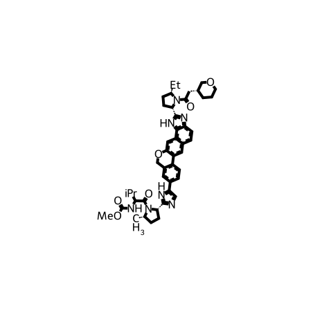 CC[C@H]1CC[C@@H](c2nc3ccc4cc5c(cc4c3[nH]2)OCc2cc(-c3cnc([C@@H]4CC[C@H](C)N4C(=O)C(NC(=O)OC)C(C)C)[nH]3)ccc2-5)N1C(=O)C[C@H]1CCCOC1